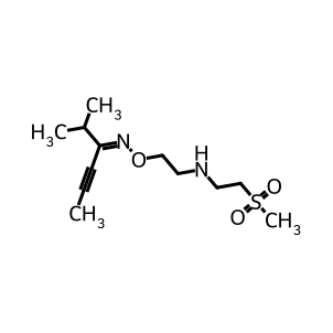 CC#C/C(=N\OCCNCCS(C)(=O)=O)C(C)C